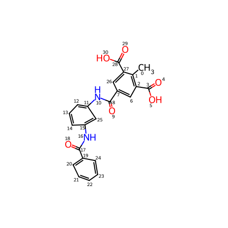 Cc1c(C(=O)O)cc(C(=O)Nc2cccc(NC(=O)c3ccccc3)c2)cc1C(=O)O